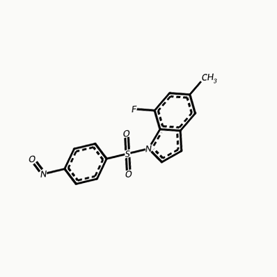 Cc1cc(F)c2c(ccn2S(=O)(=O)c2ccc(N=O)cc2)c1